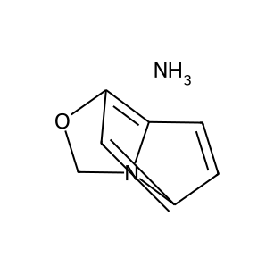 N.c1cc2c3cc1n2CO3